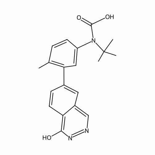 Cc1ccc(N(C(=O)O)C(C)(C)C)cc1-c1ccc2c(O)nncc2c1